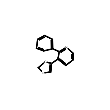 C1=C(c2cccnc2-c2ccccc2)OCO1